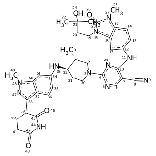 C[C@@H]1CN(c2ncc(C#N)c(Nc3ccc4c(c3)n(CCC(C)(C)O)c(=O)n4C)n2)CC[C@H]1Nc1ccc2c(C3CCC(=O)NC3=O)nn(C)c2c1